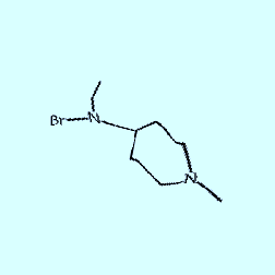 CN1CCC(N(C)Br)CC1